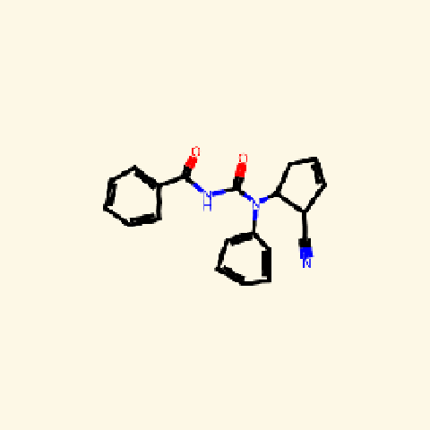 N#CC1C=CCC1N(C(=O)NC(=O)c1ccccc1)c1ccccc1